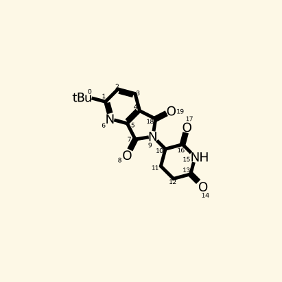 CC(C)(C)c1ccc2c(n1)C(=O)N(C1CCC(=O)NC1=O)C2=O